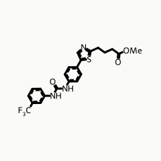 COC(=O)CCCc1ncc(-c2ccc(NC(=O)Nc3cccc(C(F)(F)F)c3)cc2)s1